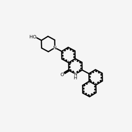 O=c1[nH]c(-c2cccc3ccccc23)cc2ccc(N3CCC(O)CC3)cc12